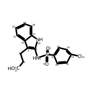 O=C(O)CCc1c(NS(=O)(=O)c2ccc(Cl)cc2)[nH]c2ccccc12